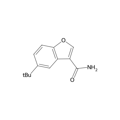 CC(C)(C)c1ccc2occ(C(N)=O)c2c1